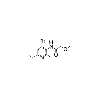 CCc1cc(Br)c(NC(=O)COC)c(C)n1